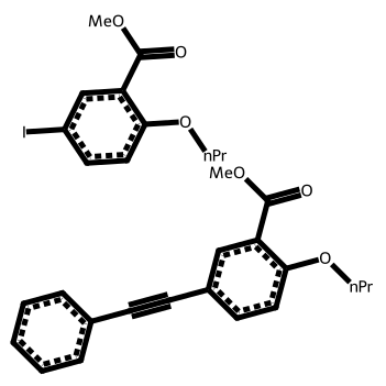 CCCOc1ccc(C#Cc2ccccc2)cc1C(=O)OC.CCCOc1ccc(I)cc1C(=O)OC